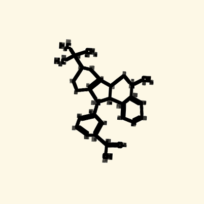 CN1CC2C3=C(CCC(C(C)(C)C)C3)N(c3cccc(C(=O)O)c3)C2c2ccccc21